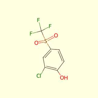 O=S(=O)(c1ccc(O)c(Cl)c1)C(F)(F)F